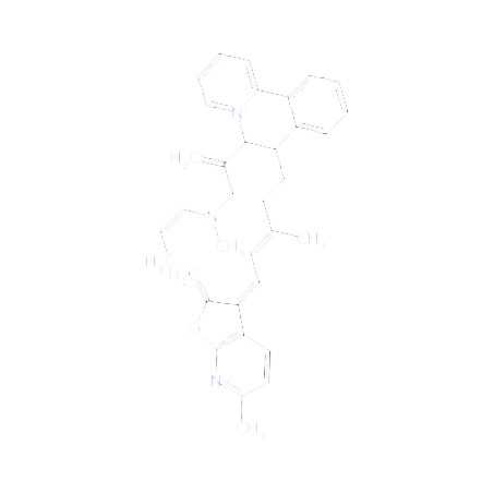 C=C(CN(C)/C=C\C)C1C(CC/C(C)=C/C=c2\c(=C)oc3nc(C)ccc23)c2ccccc2-c2cccc[n+]21